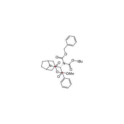 COC(=O)[C@H](C1CC2CCC(C1)N2C(=O)OCc1ccccc1)N(C(=O)OCc1ccccc1)C(=O)OC(C)(C)C